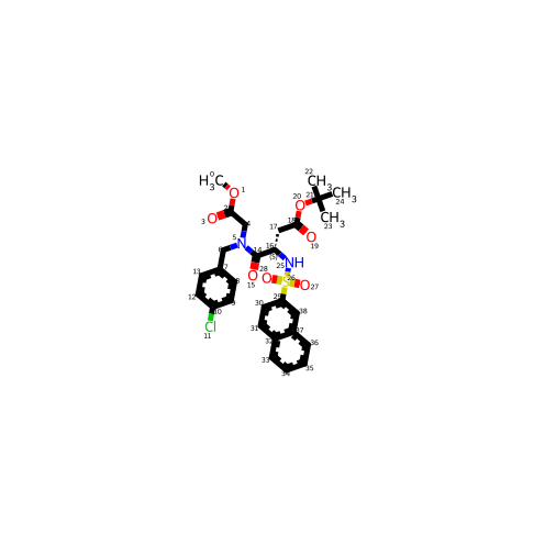 COC(=O)CN(Cc1ccc(Cl)cc1)C(=O)[C@H](CC(=O)OC(C)(C)C)NS(=O)(=O)c1ccc2ccccc2c1